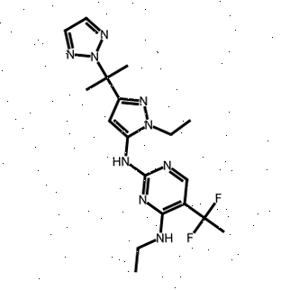 CCNc1nc(Nc2cc(C(C)(C)n3nccn3)nn2CC)ncc1C(C)(F)F